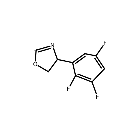 Fc1cc(F)c(F)c(C2CO[C]=N2)c1